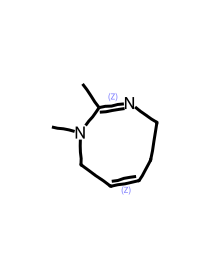 C/C1=N/CC/C=C\CN1C